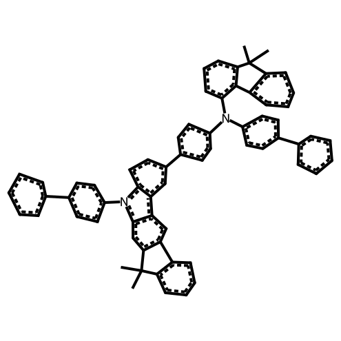 CC1(C)c2ccccc2-c2cc3c4cc(-c5ccc(N(c6ccc(-c7ccccc7)cc6)c6cccc7c6-c6ccccc6C7(C)C)cc5)ccc4n(-c4ccc(-c5ccccc5)cc4)c3cc21